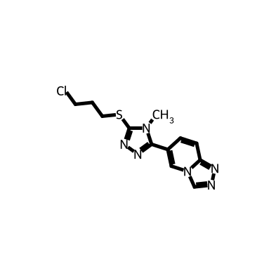 Cn1c(SCCCCl)nnc1-c1ccc2nncn2c1